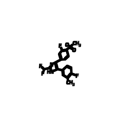 Cc1cc(-c2[nH]c(C(F)F)nc2-c2ccc(S(C)(=O)=O)c(F)c2)ccc1F